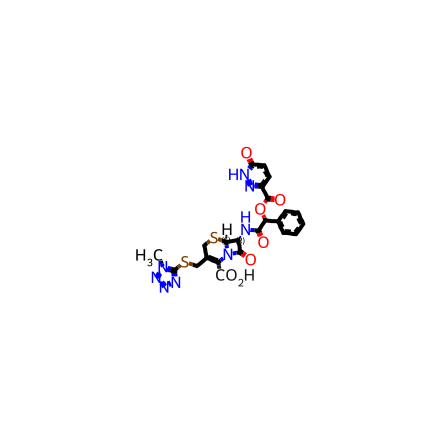 Cn1nnnc1SCC1=C(C(=O)O)N2C(=O)[C@@H](NC(=O)C(OC(=O)c3ccc(=O)[nH]n3)c3ccccc3)[C@@H]2SC1